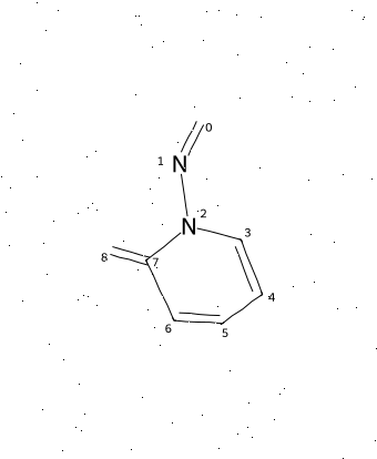 C=NN1C=CC=CC1=C